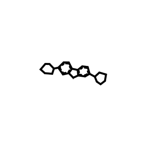 [CH]1c2cc(C3CCCCC3)ccc2-c2ccc(C3CCCCC3)cc21